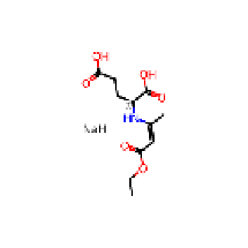 CCOC(=O)C=C(C)N[C@@H](CCC(=O)O)C(=O)O.[NaH]